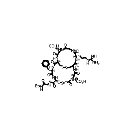 CCNC(=O)CNC(=O)[C@@H]1CSCC(=O)N[C@@H](CC(=O)O)C(=O)N[C@H]2CSSC[C@H](NC(=O)[C@H](CC(=O)O)NC(=O)CNC(=O)[C@H](CCCNC(=N)N)NC2=O)C(=O)N[C@@H](Cc2ccccc2)C(=O)N1